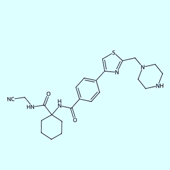 N#CCNC(=O)C1(NC(=O)c2ccc(-c3csc(CN4CCNCC4)n3)cc2)CCCCC1